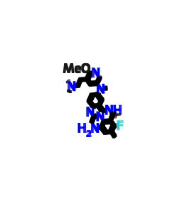 COc1ncc(N(C)c2ccc3nc(C)nc(N[C@H](C)c4cc(N)cc(C)c4F)c3c2)cc1CCN(C)C